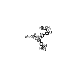 COCC(F)(F)COc1nn([C@H]2CC[C@H](N3[C@@H]4CC[C@H]3COC4)CC2)cc1Nc1ncc(-c2ccc(Cl)c(O[C@@H](C)Cn3cncn3)c2)cn1